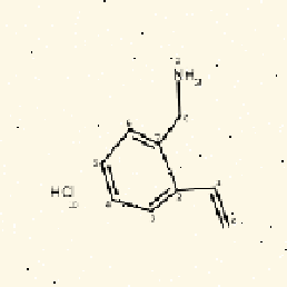 C=Cc1ccccc1CN.Cl